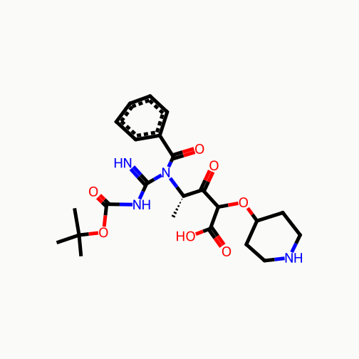 C[C@@H](C(=O)C(OC1CCNCC1)C(=O)O)N(C(=N)NC(=O)OC(C)(C)C)C(=O)c1ccccc1